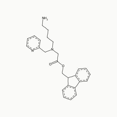 NCCCCN(CC(=O)OCC1c2ccccc2-c2ccccc21)Cc1ccccn1